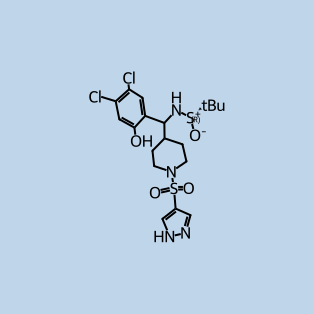 CC(C)(C)[S@+]([O-])NC(c1cc(Cl)c(Cl)cc1O)C1CCN(S(=O)(=O)c2cn[nH]c2)CC1